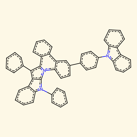 c1ccc(-c2c3c4ccccc4n(-c4ccccc4)c3n3c4ccc(-c5ccc(-n6c7ccccc7c7ccccc76)cc5)cc4c4ccccc4c23)cc1